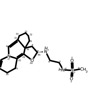 CS(=O)(=O)NCCN[C@H]1CC23CCCCC2=CN2C=CCCC2=C3O1